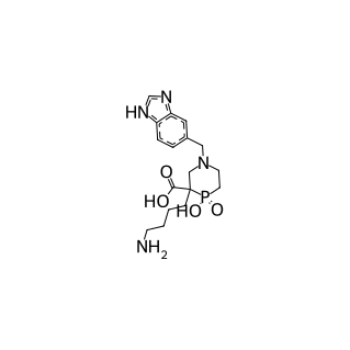 NCCCCC1(C(=O)O)CN(Cc2ccc3[nH]cnc3c2)CCP1(=O)O